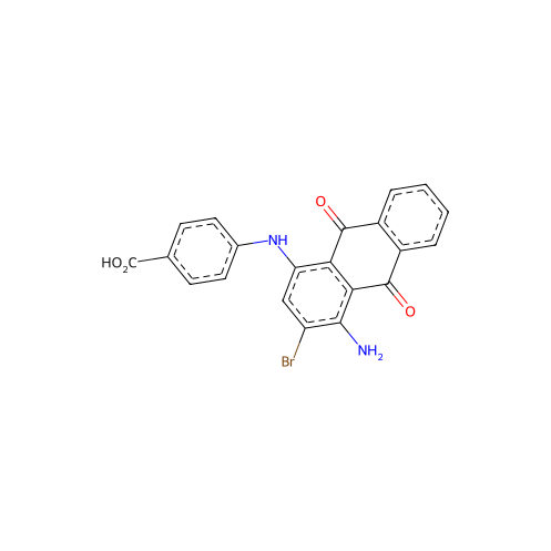 Nc1c(Br)cc(Nc2ccc(C(=O)O)cc2)c2c1C(=O)c1ccccc1C2=O